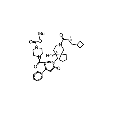 C[C@H](CC1CCC1)C(=O)N1CC[C@@](O)(Cn2cc(C(=O)N3CCN(C(=O)OC(C)(C)C)CC3)c(-c3ccccc3)cc2=O)C2(CCCC2)C1